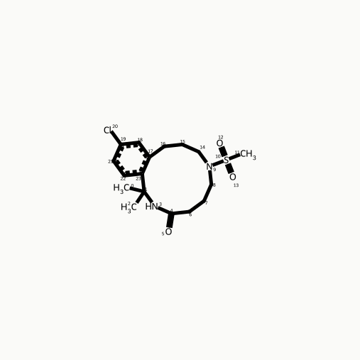 CC1(C)NC(=O)CCCN(S(C)(=O)=O)CCCc2cc(Cl)ccc21